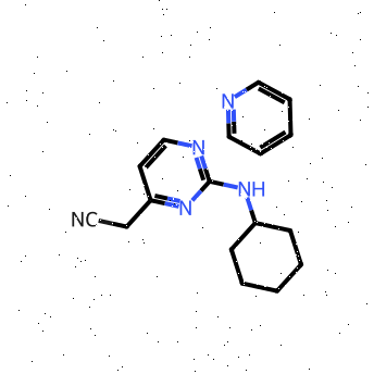 N#CCc1ccnc(NC2CCCCC2)n1.c1ccncc1